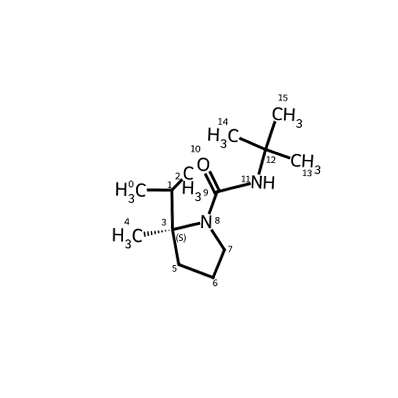 CC(C)[C@]1(C)CCCN1C(=O)NC(C)(C)C